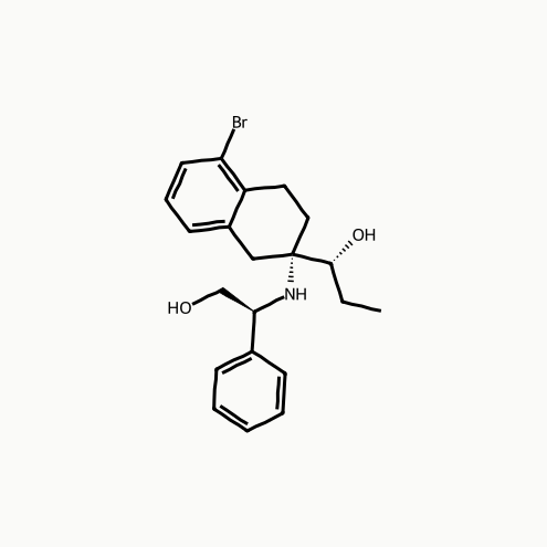 CC[C@@H](O)[C@]1(N[C@H](CO)c2ccccc2)CCc2c(Br)cccc2C1